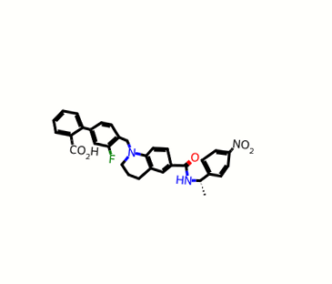 C[C@H](NC(=O)c1ccc2c(c1)CCCN2Cc1ccc(-c2ccccc2C(=O)O)cc1F)c1ccc([N+](=O)[O-])cc1